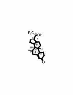 C[C@@H]1CC2=CC(=O)CC[C@@H]2[C@H]2CC[C@@]3(C)[C@H](CC[C@@H]3[C@@H](O)C(F)(F)F)[C@@H]21